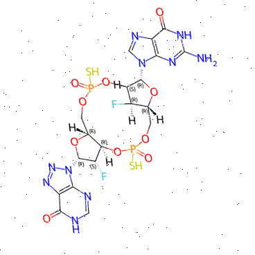 Nc1nc2c(ncn2[C@@H]2O[C@@H]3COP(=O)(S)O[C@H]4[C@H](F)[C@H](n5nnc6c(=O)[nH]cnc65)O[C@@H]4COP(=O)(S)O[C@@H]2[C@@H]3F)c(=O)[nH]1